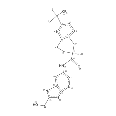 CC(C)(c1ccc2c(n1)CC[C@](C)(C(=O)Nc1cnc3sc(CO)nc3c1)C2)C(F)(F)F